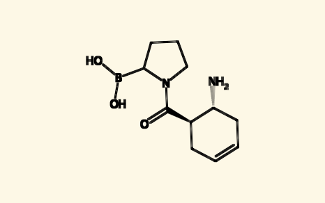 N[C@@H]1CC=CC[C@H]1C(=O)N1CCCC1B(O)O